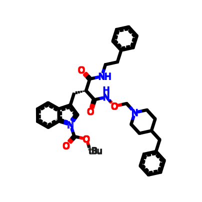 CC(C)(C)OC(=O)n1cc(C[C@H](C(=O)NCCc2ccccc2)C(=O)NOCN2CCC(Cc3ccccc3)CC2)c2ccccc21